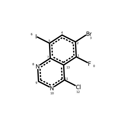 Fc1c(Br)cc(I)c2ncnc(Cl)c12